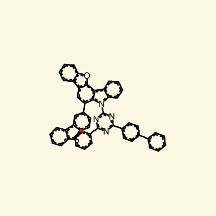 c1ccc(-c2ccc(-c3nc(-c4ccccc4)nc(-n4c5ccccc5c5c6oc7ccccc7c6cc(-c6ccc7sc8ccccc8c7c6)c54)n3)cc2)cc1